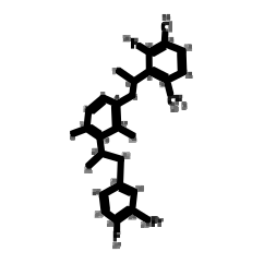 Cc1ccc(CC(C)c2c(C(F)(F)F)ccc(Cl)c2F)c(C)c1C(C)Cc1ccc(F)c(C(C)C)c1